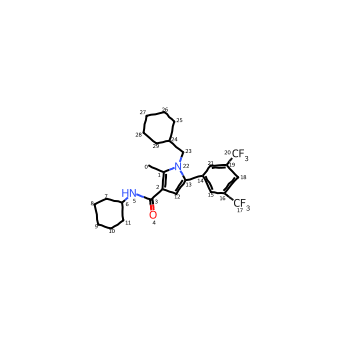 Cc1c(C(=O)NC2CCCCC2)cc(-c2cc(C(F)(F)F)cc(C(F)(F)F)c2)n1CC1CCCCC1